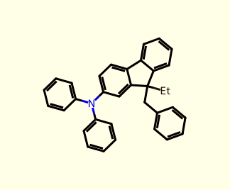 CCC1(Cc2ccccc2)c2ccccc2-c2ccc(N(c3ccccc3)c3ccccc3)cc21